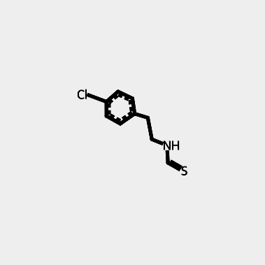 S=CNCCc1ccc(Cl)cc1